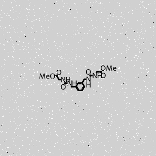 COC(=O)CNC(=O)NCc1cccc(CNC(=O)NCC(=O)OC)c1